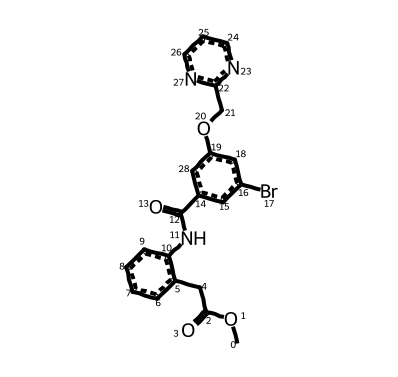 COC(=O)Cc1ccccc1NC(=O)c1cc(Br)cc(OCc2ncccn2)c1